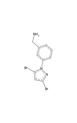 NCc1[c]ccc(-n2nc(Br)cc2Br)c1